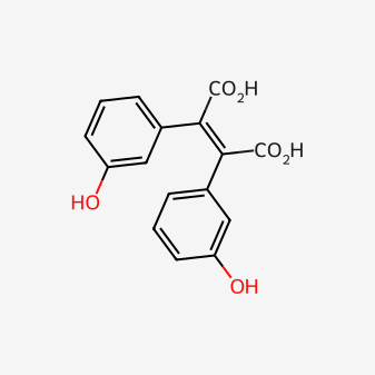 O=C(O)C(=C(C(=O)O)c1cccc(O)c1)c1cccc(O)c1